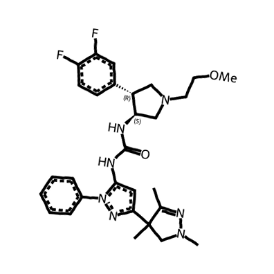 COCCN1C[C@@H](NC(=O)Nc2cc(C3(C)CN(C)N=C3C)nn2-c2ccccc2)[C@H](c2ccc(F)c(F)c2)C1